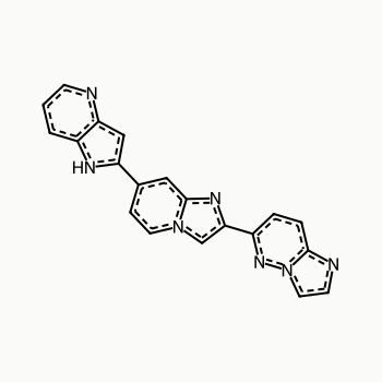 c1cnc2cc(-c3ccn4cc(-c5ccc6nccn6n5)nc4c3)[nH]c2c1